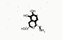 CCCCCCCC[C@@H]1Cc2c(ccc(O)c2O)[C@H](CN)O1